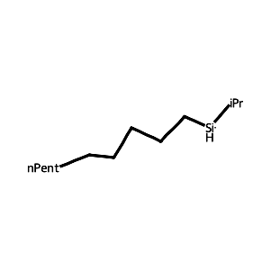 CCCCCCCCCC[SiH]C(C)C